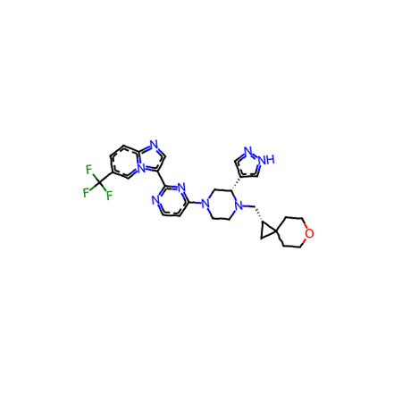 FC(F)(F)c1ccc2ncc(-c3nccc(N4CCN(C[C@H]5CC56CCOCC6)[C@@H](c5cn[nH]c5)C4)n3)n2c1